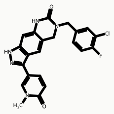 Cn1cc(-c2n[nH]c3cc4c(cc23)CN(Cc2ccc(F)c(Cl)c2)C(=O)N4)ccc1=O